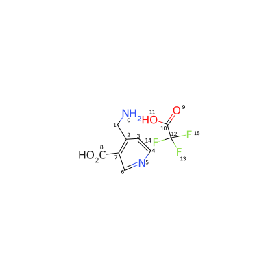 NCc1ccncc1C(=O)O.O=C(O)C(F)(F)F